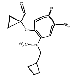 CN(CC1CCC1)c1cc(N)c(F)cc1OC1(C=O)CC1